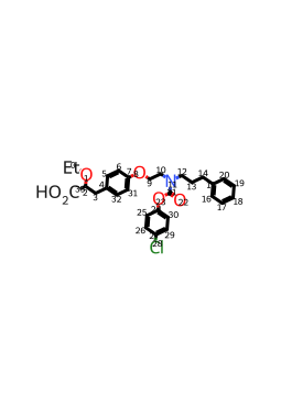 CCOC(Cc1ccc(OCCN(CCCc2ccccc2)C(=O)Oc2ccc(Cl)cc2)cc1)C(=O)O